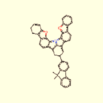 CC1(C)c2ccccc2-c2ccc(C3C=c4c5ccc6c7ccccc7oc6c5n5c4c(c4ccc6c7c(oc6c45)C=CCC7)C3)cc21